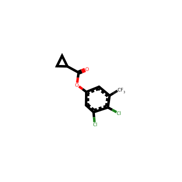 O=C(Oc1cc(Cl)c(Cl)c(C(F)(F)F)c1)C1CC1